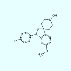 COc1ccc2c(c1)C(c1ccc(F)cc1)OC21CCN(O)CC1